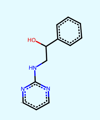 OC(CNc1n[c]ccn1)c1ccccc1